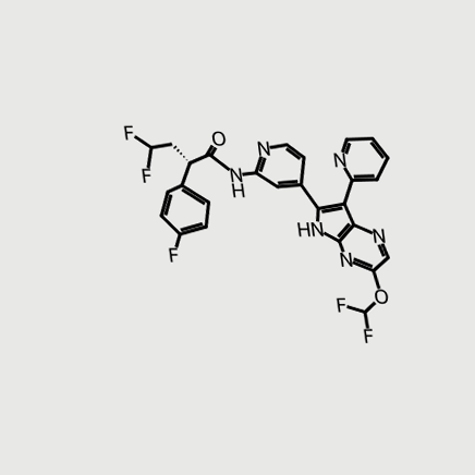 O=C(Nc1cc(-c2[nH]c3nc(OC(F)F)cnc3c2-c2ccccn2)ccn1)[C@@H](CC(F)F)c1ccc(F)cc1